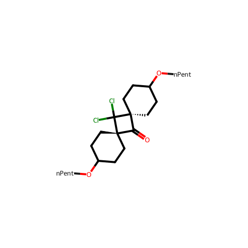 CCCCCOC1CC[C@]2(CC1)C(=O)[C@@]1(CCC(OCCCCC)CC1)C2(Cl)Cl